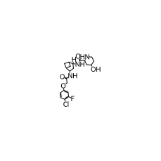 O=C(COc1ccc(Cl)c(F)c1)NC1C[C@@H](NC(=O)C2CC(O)CCN2)C2CC1C2